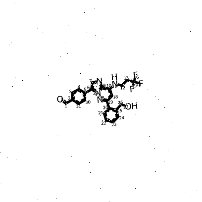 O=Cc1ccc(-c2cnc3c(NCCC(F)(F)F)cc(-c4ccccc4CO)nn23)cc1